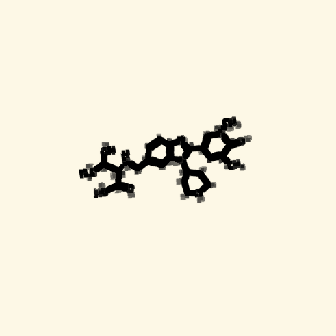 Cc1cc(-c2nc3ccc(CN[C@H](C(=O)O)C(C)O)cc3n2C2CCOCC2)cn(C)c1=O